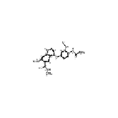 CNC(=O)Nc1ccc(Oc2ccnc3cc(OC)c(C(=O)NOC)cc23)cc1CI